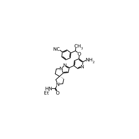 CCNC(=O)N1CC[C@@]2(CCn3nc(-c4cnc(N)c(OC(C)c5cccc(C#N)c5)c4)cc32)C1